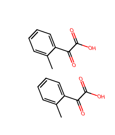 Cc1ccccc1C(=O)C(=O)O.Cc1ccccc1C(=O)C(=O)O